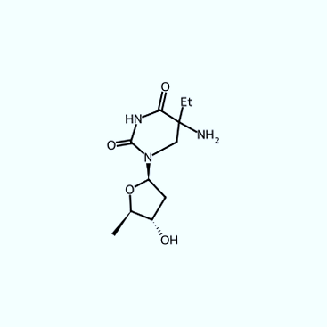 CCC1(N)CN([C@H]2C[C@H](O)[C@@H](C)O2)C(=O)NC1=O